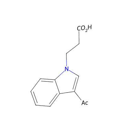 CC(=O)c1cn(CCC(=O)O)c2ccccc12